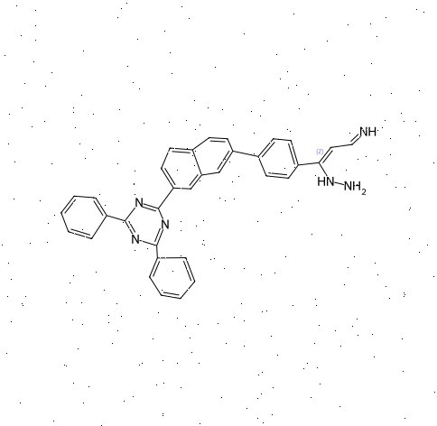 N=C/C=C(\NN)c1ccc(-c2ccc3ccc(-c4nc(-c5ccccc5)nc(-c5ccccc5)n4)cc3c2)cc1